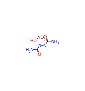 NC(=O)/N=N/C(N)=O.O=[N+]([O-])O